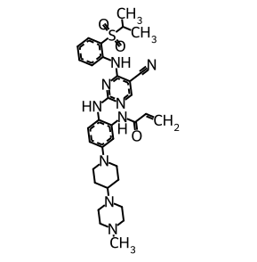 C=CC(=O)Nc1cc(N2CCC(N3CCN(C)CC3)CC2)ccc1Nc1ncc(C#N)c(Nc2ccccc2S(=O)(=O)C(C)C)n1